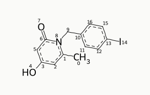 Cc1cc(O)cc(=O)n1Cc1ccc(I)cc1